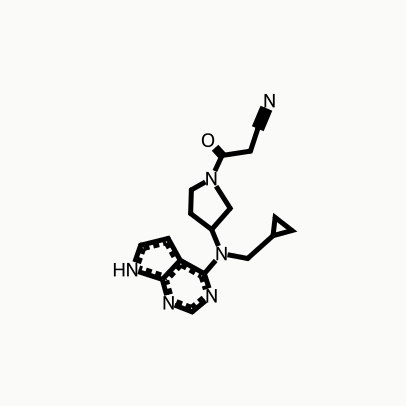 N#CCC(=O)N1CCC(N(CC2CC2)c2ncnc3[nH]ccc23)C1